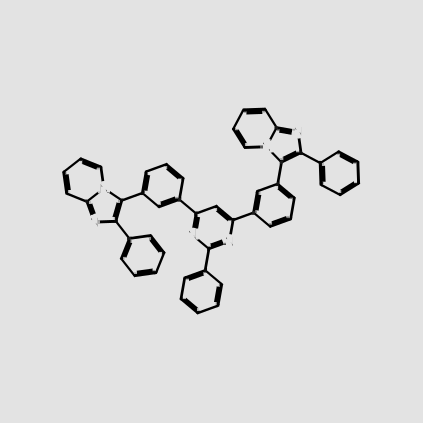 c1ccc(-c2nc(-c3cccc(-c4c(-c5ccccc5)nc5ccccn45)c3)cc(-c3cccc(-c4c(-c5ccccc5)nc5ccccn45)c3)n2)cc1